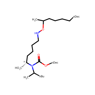 CCCCCCCCCCCCCCC(C)ONCCCC[C@@H](C(=O)O)N(C(=O)OCCCCCCCCCC)C(C)CCCC